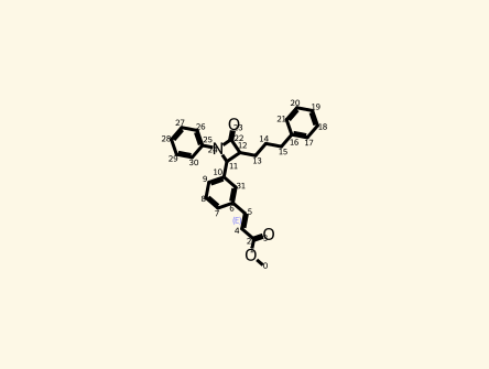 COC(=O)/C=C/c1cccc(C2C(CCCc3ccccc3)C(=O)N2c2ccccc2)c1